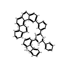 c1ccc(-c2nc(-c3cccc(-c4ccc5ccc6ccc7c8ccccc8ccc7c6c5c4)c3)nc(-c3cccc4oc5ccccc5c34)n2)cc1